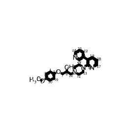 COc1ccc(OCC(O)CN2CCN(c3ncccc3-c3cccnc3)CC2)cc1